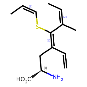 C=C/C(C[C@@H](N)C(=O)O)=C(S/C=C\C)\C(C)=C/C